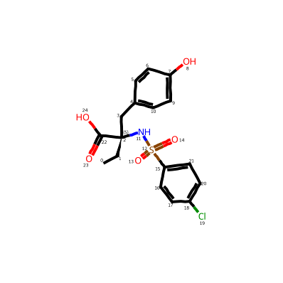 CC[C@@](Cc1ccc(O)cc1)(NS(=O)(=O)c1ccc(Cl)cc1)C(=O)O